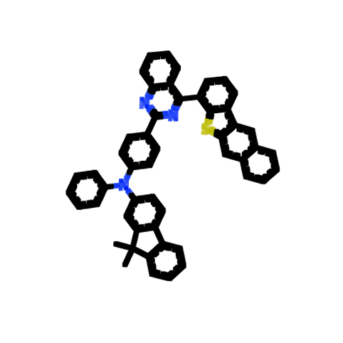 CC1(C)c2ccccc2-c2ccc(N(c3ccccc3)c3ccc(-c4nc(-c5cccc6c5sc5cc7ccccc7cc56)c5ccccc5n4)cc3)cc21